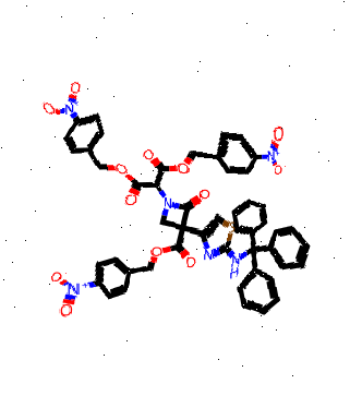 O=C(OCc1ccc([N+](=O)[O-])cc1)C(C(=O)OCc1ccc([N+](=O)[O-])cc1)N1CC(C(=O)OCc2ccc([N+](=O)[O-])cc2)(c2csc(NC(c3ccccc3)(c3ccccc3)c3ccccc3)n2)C1=O